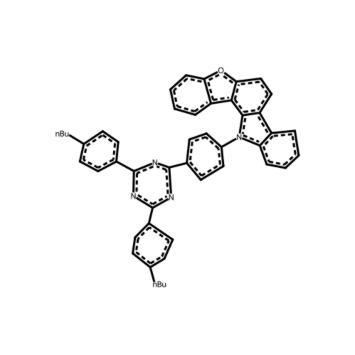 CCCCc1ccc(-c2nc(-c3ccc(CCCC)cc3)nc(-c3ccc(-n4c5ccccc5c5ccc6oc7ccccc7c6c54)cc3)n2)cc1